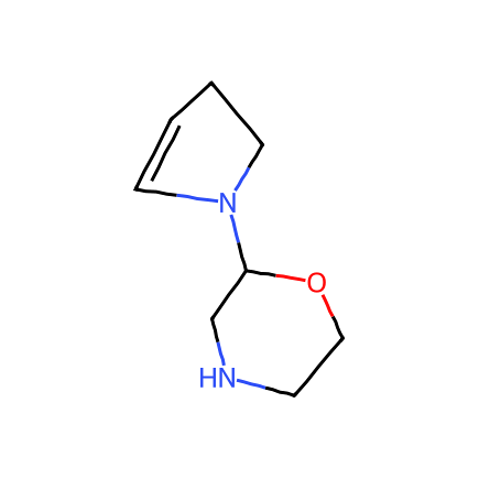 C1=CN(C2CNCCO2)CC1